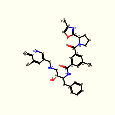 C=C/C(=C\C(=C/N)CNC[C@@H](O)[C@H](Cc1ccccc1)NC(=O)c1cc(C)cc(C(=O)N2CCC[C@@H]2c2nc(C)co2)c1)C(C)C